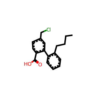 CCCCc1ccccc1-c1cc(CCl)ccc1C(=O)O